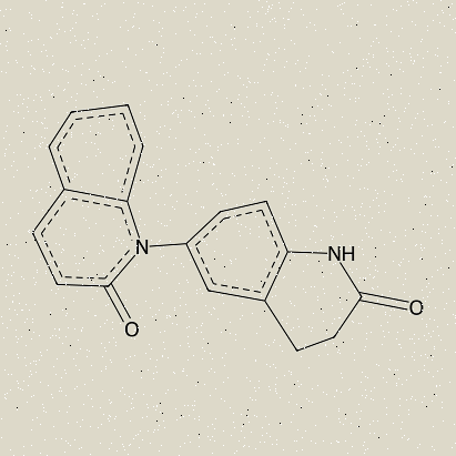 O=C1CCc2cc(-n3c(=O)ccc4ccccc43)ccc2N1